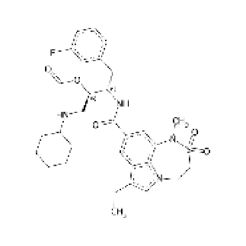 CCc1cn2c3c(cc(C(=O)N[C@@H](Cc4cccc(F)c4)[C@@H](CNC4CCCCC4)OC=O)cc13)N(C)S(=O)(=O)CC2